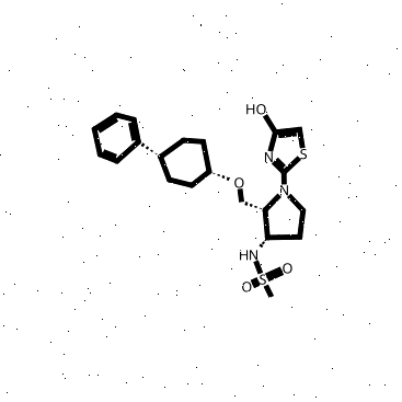 CS(=O)(=O)N[C@H]1CCN(c2nc(O)cs2)[C@H]1CO[C@H]1CC[C@@H](c2ccccc2)CC1